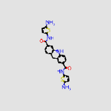 Nc1ccc(NC(=O)c2ccc3c(c2)Cc2ccc(C(=O)Nc4ccc(N)s4)cc2N3)s1